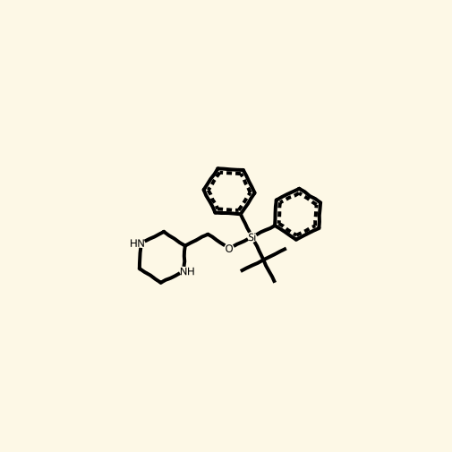 CC(C)(C)[Si](OCC1CNCCN1)(c1ccccc1)c1ccccc1